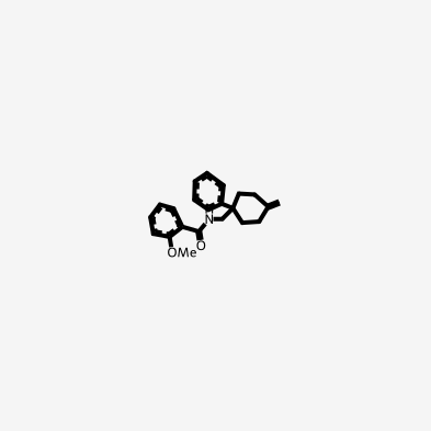 C=C1CCC(CNC(=O)c2ccccc2OC)(c2ccccc2)CC1